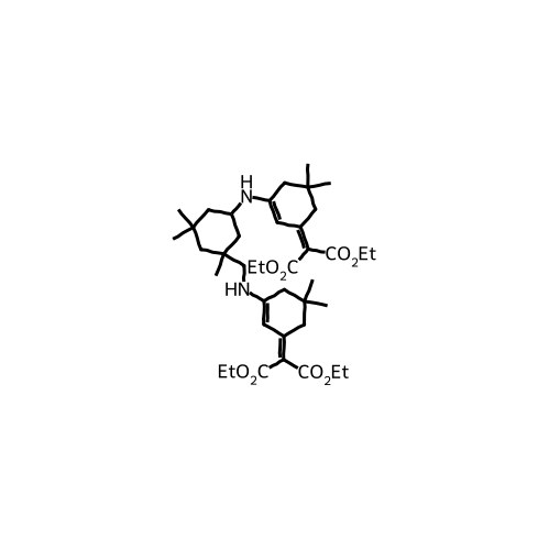 CCOC(=O)C(C(=O)OCC)=C1C=C(NCC2(C)CC(NC3=CC(=C(C(=O)OCC)C(=O)OCC)CC(C)(C)C3)CC(C)(C)C2)CC(C)(C)C1